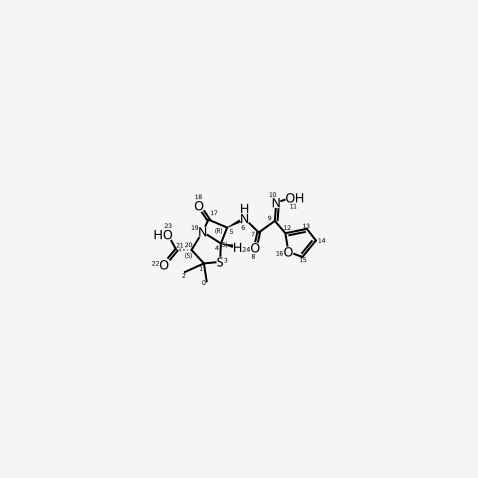 CC1(C)S[C@H]2[C@H](NC(=O)C(=NO)c3ccco3)C(=O)N2[C@H]1C(=O)O